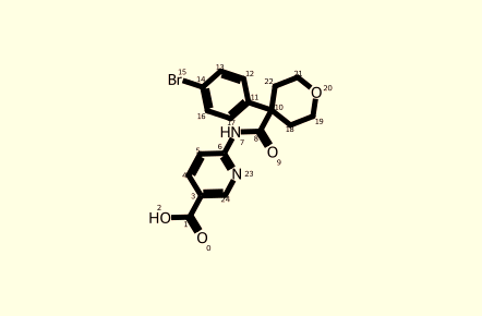 O=C(O)c1ccc(NC(=O)C2(c3ccc(Br)cc3)CCOCC2)nc1